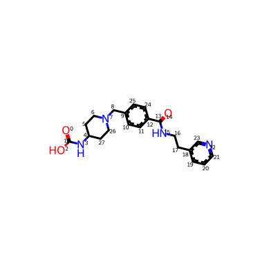 O=C(O)NC1CCN(Cc2ccc(C(=O)NCCc3cccnc3)cc2)CC1